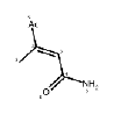 CC(=O)C(C)=CC(N)=O